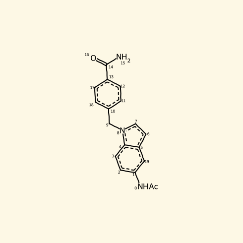 CC(=O)Nc1ccc2c(ccn2Cc2ccc(C(N)=O)cc2)c1